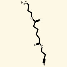 CCCCOC(=O)CCCCC(=O)OCCC#N